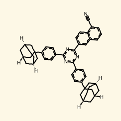 N#Cc1cccc2cc(-c3nc(-c4ccc(C56C[C@H]7C[C@@H](C5)C[C@@H](C6)C7)cc4)nc(-c4ccc(C56C[C@H]7C[C@H](C5)C[C@@H](C6)C7)cc4)n3)ccc12